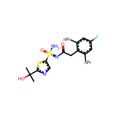 CCCc1cc(F)cc(CCC)c1CC(=O)N=S(N)(=O)c1cnc(C(C)(C)O)s1